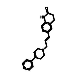 O=C1CCc2cc(C=CCN3CC=C(c4ccccc4)CC3)ccc2N1